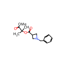 COC(=O)C(C)(C)OC(=O)C1CN(Cc2ccccc2)C1